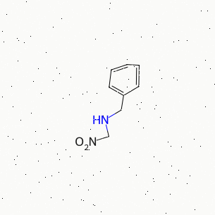 O=[N+]([O-])CNCc1ccccc1